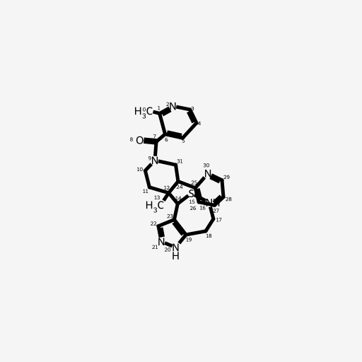 Cc1ncccc1C(=O)N1CCC(C)(C2SNCCc3[nH]ncc32)C(c2ccccn2)C1